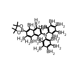 Bc1c(B)c(B)c(N(c2c(B)c(B)c(B)c(B)c2B)c2c(B)c(B)c3c(B)c(B4OC(C)(C)C(C)(C)O4)c(B)c(B)c3c2B)c(B)c1B